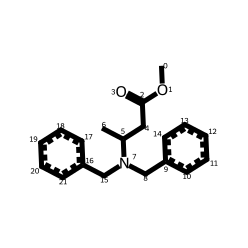 COC(=O)CC(C)N(Cc1ccccc1)Cc1ccccc1